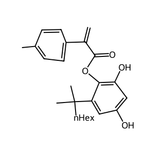 C=C(C(=O)Oc1c(O)cc(O)cc1C(C)(C)CCCCCC)c1ccc(C)cc1